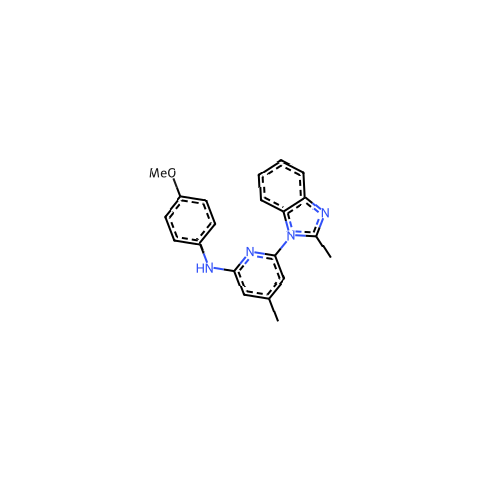 COc1ccc(Nc2cc(C)cc(-n3c(C)nc4ccccc43)n2)cc1